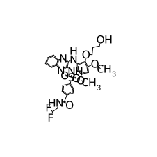 COc1cc(Nc2nc3ccccc3nc2NS(=O)(=O)c2ccc(C(=O)NCC(F)F)cc2)c(OCCCO)c(OC)c1